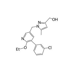 CCOc1ncc(Cn2nc(CO)cc2C)cc1-c1cccc(Cl)c1